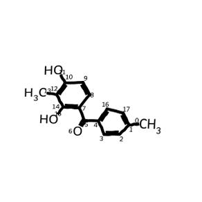 Cc1ccc(C(=O)c2ccc(O)c(C)c2O)cc1